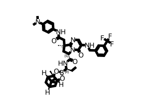 CC[C@H](NC(=O)[C@@H]1C[C@@](C)(CC(=O)Nc2ccc(N(C)C)cc2)c2ncc(NCc3cccc(C(F)(F)F)c3)c(=O)n21)B1O[C@@H]2C[C@@H]3C[C@@H](C3(C)C)[C@]2(C)O1